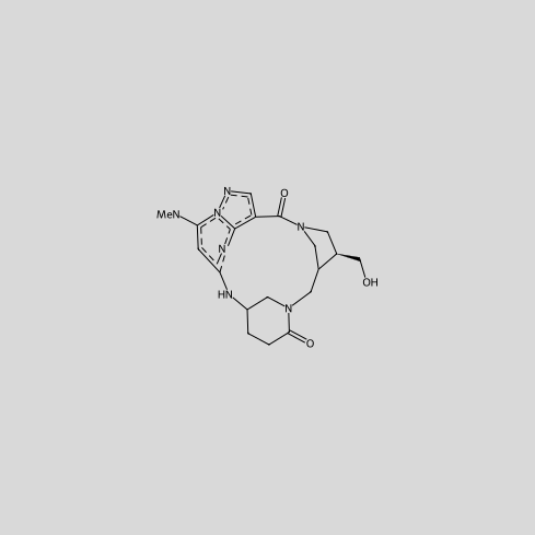 CNc1cc2nc3c(cnn13)C(=O)N1CC(CN3CC(CCC3=O)N2)[C@H](CO)C1